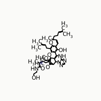 CC(C)=CCCC1(C)C=Cc2c(O)c3c(c(CC=C(C)C)c2O1)OC12C4=C3Nc3ncnn3C4C(CC1C(C)C)C(=O)C2(O)C/C=C(/C)C(=O)NCCO